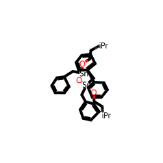 CC(C)CC[O][Sn]([CH2]c1ccccc1)([CH2]c1ccccc1)[O][Sn]([CH2]c1ccccc1)([CH2]c1ccccc1)[O]CCC(C)C